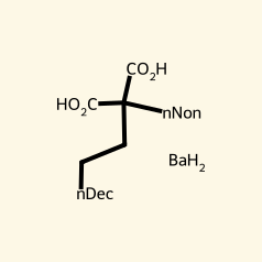 CCCCCCCCCCCCC(CCCCCCCCC)(C(=O)O)C(=O)O.[BaH2]